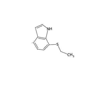 CCSc1cc[c]c2cc[nH]c12